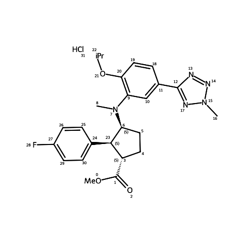 COC(=O)[C@H]1CC[C@H](N(C)c2cc(-c3nnn(C)n3)ccc2OC(C)C)[C@@H]1c1ccc(F)cc1.Cl